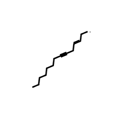 [CH2]C/C=C/CC#CCCCCCCC